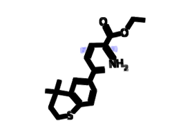 C=C(/C=C\C(=C/N)C(=O)OCC)c1ccc2c(c1)C(C)(C)CCS2